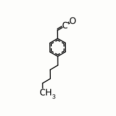 CCCCCc1ccc(C=C=O)cc1